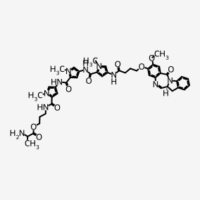 COc1cc2c(cc1OCCCC(=O)Nc1cc(C(=O)Nc3cc(C(=O)Nc4cc(C(=O)NCCCOC(=O)C(C)N)n(C)c4)n(C)c3)n(C)c1)N=C[C@@H]1Cc3ccccc3N1C2=O